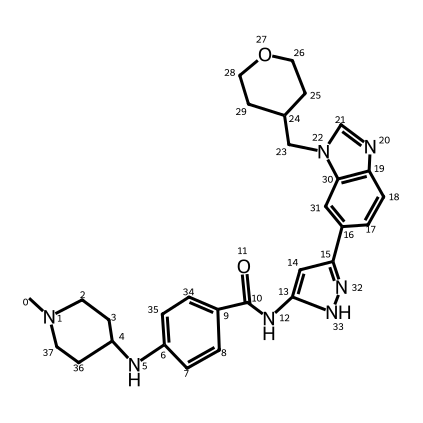 CN1CCC(Nc2ccc(C(=O)Nc3cc(-c4ccc5ncn(CC6CCOCC6)c5c4)n[nH]3)cc2)CC1